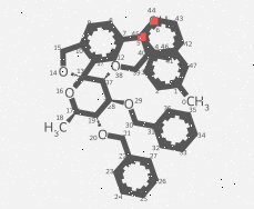 Cc1ccc(C(O)c2ccc3c(c2)[C@]2(OC3)O[C@H](C)[C@@H](OCc3ccccc3)[C@H](OCc3ccccc3)[C@H]2OCc2ccccc2)cc1